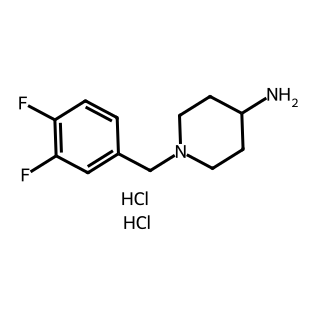 Cl.Cl.NC1CCN(Cc2ccc(F)c(F)c2)CC1